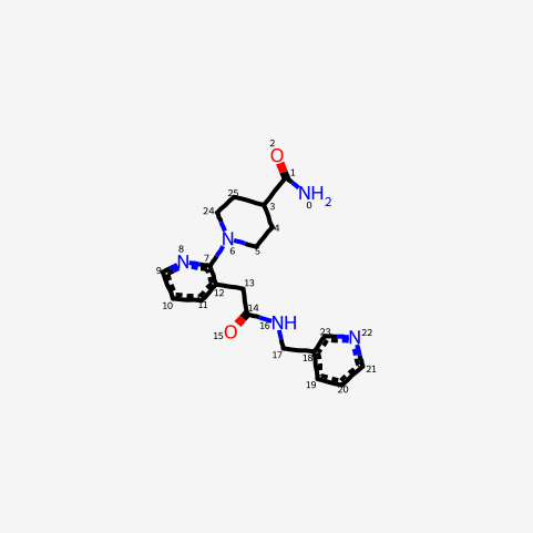 NC(=O)C1CCN(c2ncccc2CC(=O)NCc2cccnc2)CC1